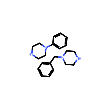 c1ccc(CN2CCNCC2)cc1.c1ccc(N2CCNCC2)cc1